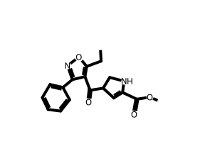 CCc1onc(-c2ccccc2)c1C(=O)C1C=C(C(=O)OC)NC1